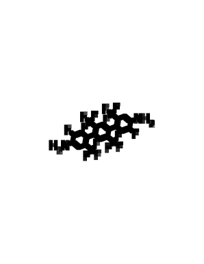 Nc1cc(C(F)(F)F)c(-c2cc(C(F)(F)F)c(-c3cc(F)c(N)cc3C(F)(F)F)cc2C(F)(F)F)cc1F